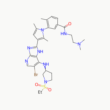 CCS(=O)(=O)N1CC[C@H](Nc2c(Br)cnc3nc(-c4cc(C)n(-c5cc(C(=O)NCCN(C)C)ccc5C)c4C)[nH]c23)C1